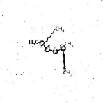 CC#CC#CC#Cc1cc(C)sc1-c1ccc(-c2ccc(-c3sc(C)cc3CCCCCCC)s2)s1